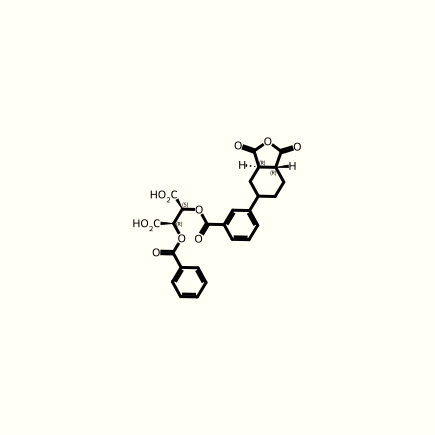 O=C(O[C@H](C(=O)O)[C@@H](OC(=O)c1ccccc1)C(=O)O)c1cccc(C2CC[C@H]3C(=O)OC(=O)[C@@H]3C2)c1